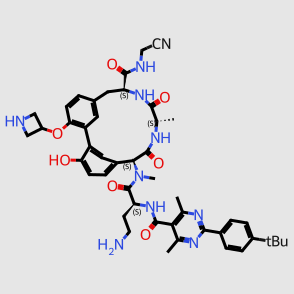 Cc1nc(-c2ccc(C(C)(C)C)cc2)nc(C)c1C(=O)N[C@@H](CCN)C(=O)N(C)[C@@H]1C(=O)N[C@@H](C)C(=O)N[C@H](C(=O)NCC#N)Cc2ccc(OC3CNC3)c(c2)-c2cc1ccc2O